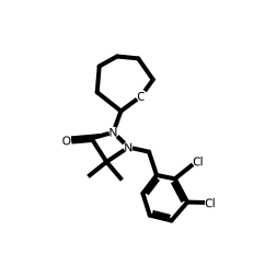 CC1(C)C(=O)N(C2CCCCCC2)N1Cc1cccc(Cl)c1Cl